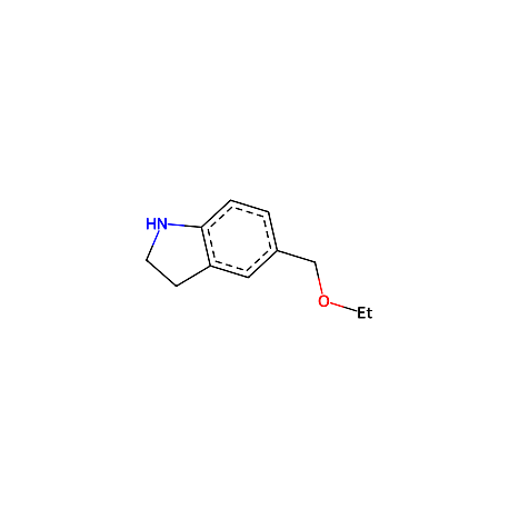 CCOCc1ccc2c(c1)CCN2